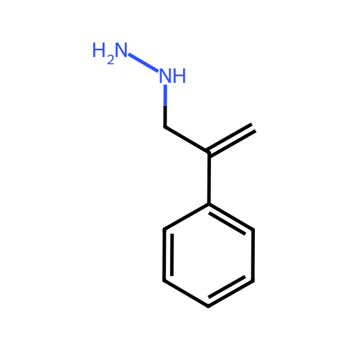 C=C(CNN)c1ccccc1